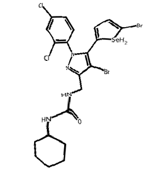 O=C(NCc1nn(-c2ccc(Cl)cc2Cl)c(C2=CC=C(Br)[SeH2]2)c1Br)NC1CCCCC1